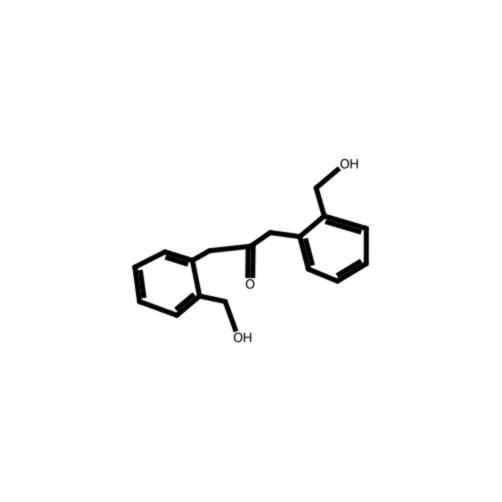 O=C(Cc1ccccc1CO)Cc1ccccc1CO